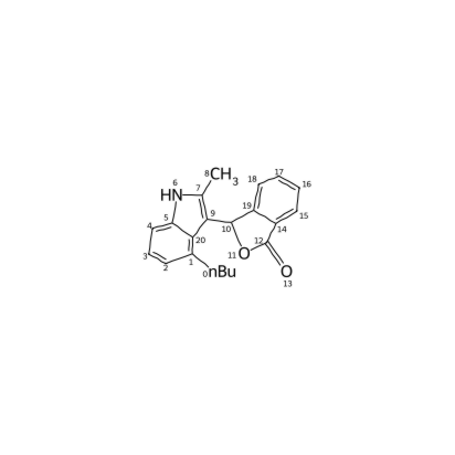 CCCCc1cccc2[nH]c(C)c(C3OC(=O)c4ccccc43)c12